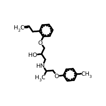 C=CCc1ccccc1OCC(O)CNC(C)COc1ccc(C)cc1